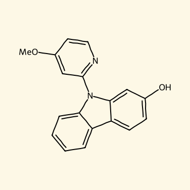 COc1ccnc(-n2c3ccccc3c3ccc(O)cc32)c1